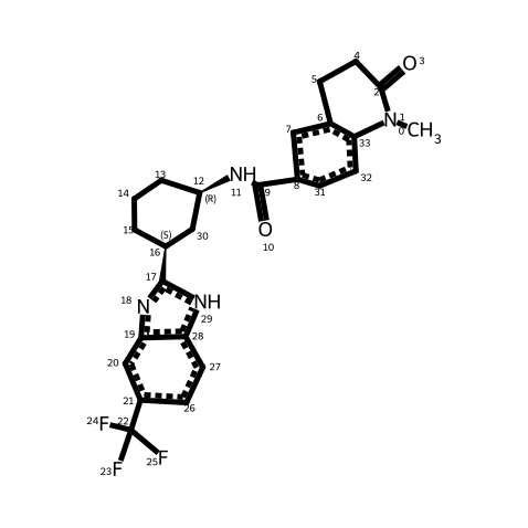 CN1C(=O)CCc2cc(C(=O)N[C@@H]3CCC[C@H](c4nc5cc(C(F)(F)F)ccc5[nH]4)C3)ccc21